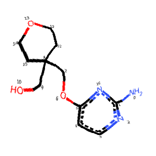 Nc1nccc(OCC2(CO)CCOCC2)n1